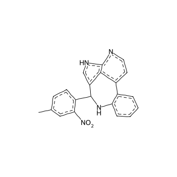 Cc1ccc(C2Nc3ccccc3-c3ccnc4[nH]cc2c34)c([N+](=O)[O-])c1